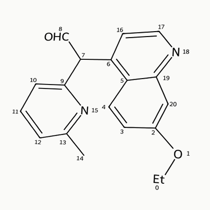 CCOc1ccc2c(C(C=O)c3cccc(C)n3)ccnc2c1